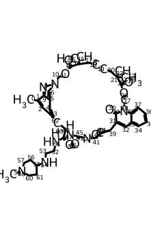 Cc1cc2cc3cn(nc13)COC(=O)C(C)(C)CCCCC(C)(C)C(=O)OCn1c(=O)c(cc3ccccc31)C1CCN(CC1)C(=O)N[C@@H](C(=O)NCCNC1CCN(C)CC1)C2